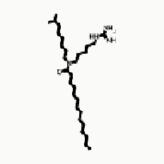 CCCCCCCCCCCCCC(=O)N(CCCCCCC(C)C)CCCCCNC(=N)N